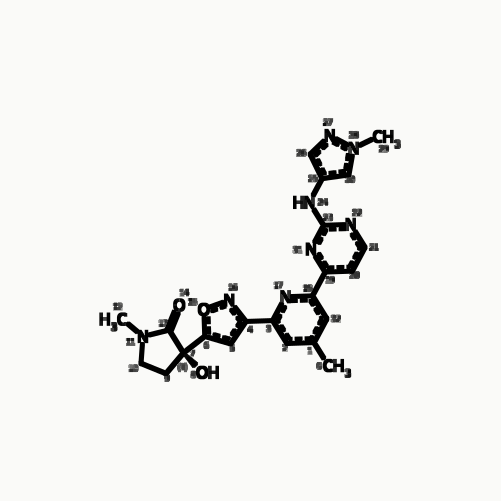 Cc1cc(-c2cc([C@]3(O)CCN(C)C3=O)on2)nc(-c2ccnc(Nc3cnn(C)c3)n2)c1